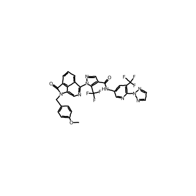 COc1ccc(CN2C(=O)c3cccc4c(-n5ncc(C(=O)Nc6cnc(-n7nccn7)c(C(F)(F)F)c6)c5C(F)(F)F)ncc2c34)cc1